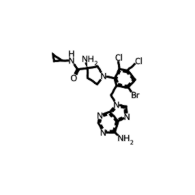 Nc1ncnc2c1ncn2Cc1c(Br)cc(Cl)c(Cl)c1N1CC[C@](N)(C(=O)NC2CC2)C1